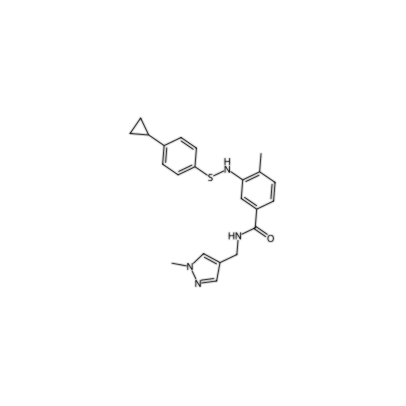 Cc1ccc(C(=O)NCc2cnn(C)c2)cc1NSc1ccc(C2CC2)cc1